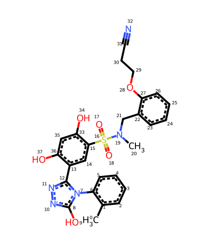 Cc1ccccc1-n1c(O)nnc1-c1cc(S(=O)(=O)N(C)Cc2ccccc2OCCC#N)c(O)cc1O